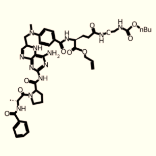 C=CCOC(=O)[C@H](CCC(=O)NCCNC(=O)OCCCC)NC(=O)c1ccc(N(C)CC2C=Nc3nc(NC(=O)C4CCCN4C(=O)[C@@H](C)NC(=O)c4ccccc4)nc(N)c3N2)cc1